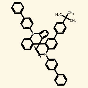 CC(C)(C)c1ccc(-c2ccc3c(c2)C2(c4ccccc4N(c4ccc(-c5ccccc5)cc4)c4ccccc42)c2ccccc2N3c2ccc(-c3ccccc3)cc2)cc1